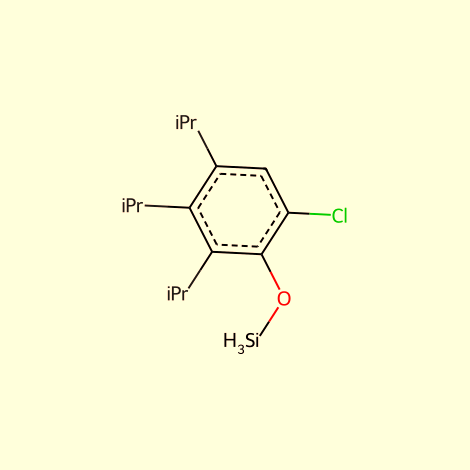 CC(C)c1cc(Cl)c(O[SiH3])c(C(C)C)c1C(C)C